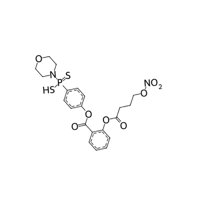 O=C(CCCO[N+](=O)[O-])Oc1ccccc1C(=O)Oc1ccc(P(=S)(S)N2CCOCC2)cc1